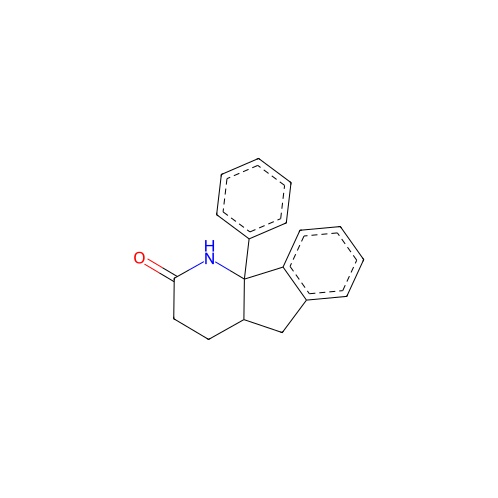 O=C1CCC2Cc3ccccc3C2(c2ccccc2)N1